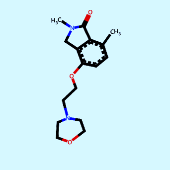 Cc1ccc(OCCN2CCOCC2)c2c1C(=O)N(C)C2